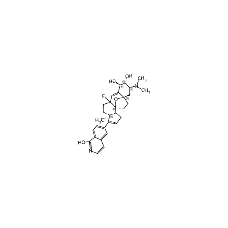 CN(C)[C@H]1C[C@@]23CC[C@]4(O2)C2CC=C(c5ccc6c(O)nccc6c5)[C@@]2(C)CCC4(F)C=C3[C@@H](O)[C@@H]1O